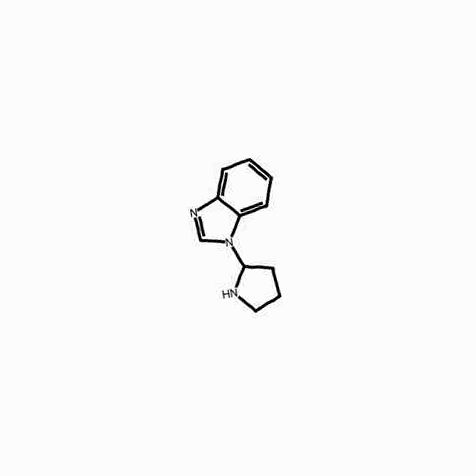 c1ccc2c(c1)ncn2C1CCCN1